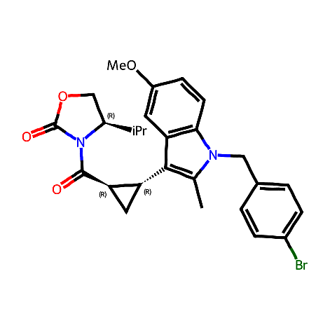 COc1ccc2c(c1)c([C@@H]1C[C@H]1C(=O)N1C(=O)OC[C@H]1C(C)C)c(C)n2Cc1ccc(Br)cc1